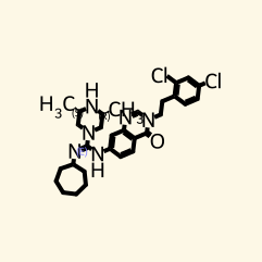 C[C@@H]1CN(/C(=N/C2CCCCCC2)Nc2ccc3c(=O)n(CCc4ccc(Cl)cc4Cl)cnc3c2)C[C@H](C)N1